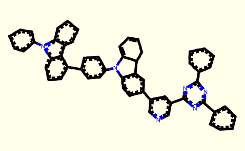 C1=CCC2C(=C1)N(c1ccc(-c3cccc4c3c3ccccc3n4-c3ccccc3)cc1)c1ccc(-c3cncc(-c4nc(-c5ccccc5)nc(-c5ccccc5)n4)c3)cc12